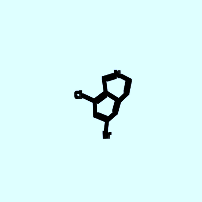 Clc1cc(Br)cc2ccncc12